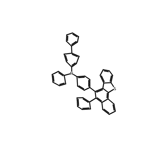 c1ccc(-c2ccc(N(c3ccccc3)c3ccc(-c4c(-c5ccccc5)c5ccccc5c5sc6ccccc6c45)cc3)cc2)cc1